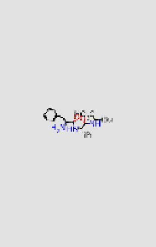 CCC(C)C(NC(=O)[C@@H](NC(=O)[C@@H](N)Cc1ccccc1)C(C)C)C(=O)O